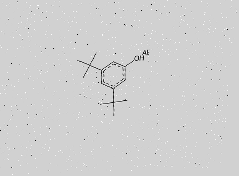 CC(C)(C)c1cc(O)cc(C(C)(C)C)c1.[Al]